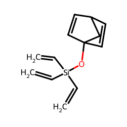 C=C[Si](C=C)(C=C)OC12C=CC(C=C1)C2